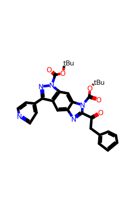 CC(C)(C)OC(=O)n1nc(-c2ccncc2)c2cc3nc(C(=O)Cc4ccccc4)n(C(=O)OC(C)(C)C)c3cc21